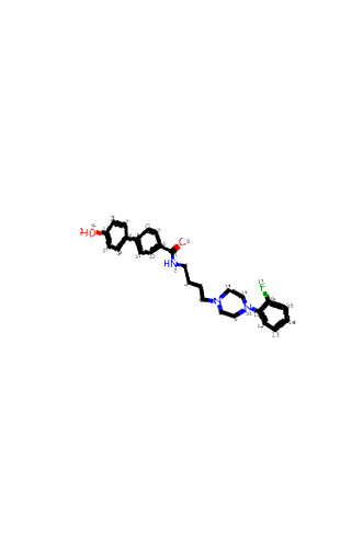 O=C(NCCCCN1CCN(c2ccccc2F)CC1)c1ccc(-c2ccc(O)cc2)cc1